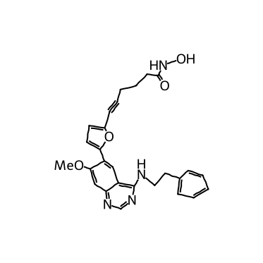 COc1cc2ncnc(NCCc3ccccc3)c2cc1-c1ccc(C#CCCCC(=O)NO)o1